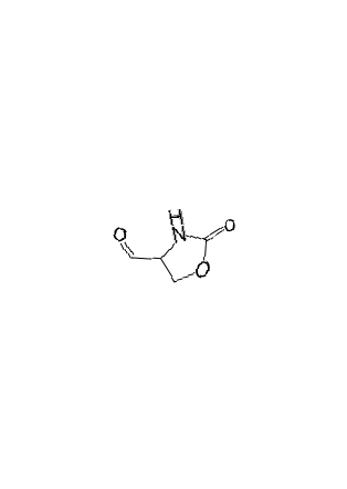 O=CC1COC(=O)N1